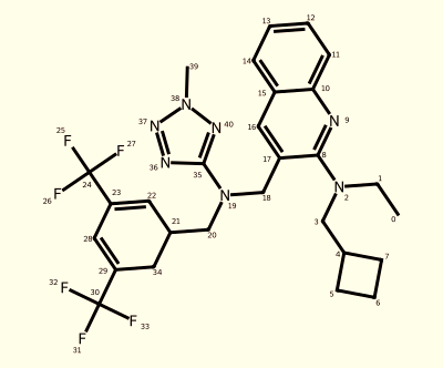 CCN(CC1CCC1)c1nc2ccccc2cc1CN(CC1C=C(C(F)(F)F)C=C(C(F)(F)F)C1)c1nnn(C)n1